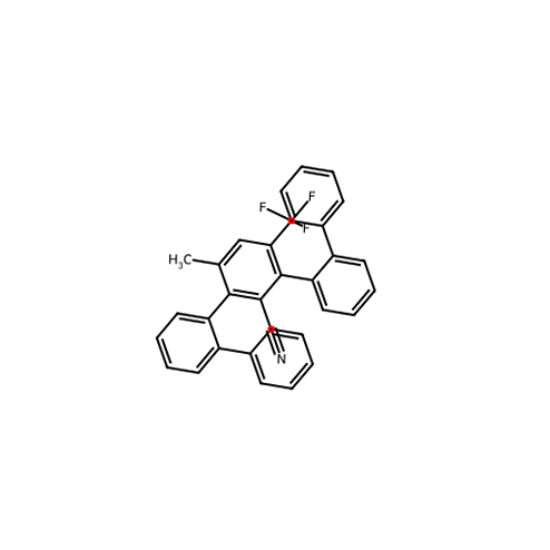 Cc1cc(C(F)(F)F)c(-c2ccccc2-c2ccccc2)c(C#N)c1-c1ccccc1-c1ccccc1